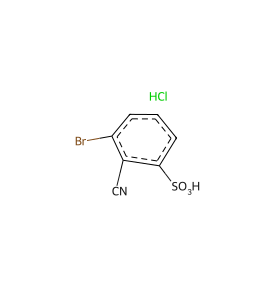 Cl.N#Cc1c(Br)cccc1S(=O)(=O)O